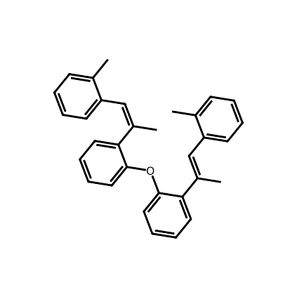 CC(=Cc1ccccc1C)c1ccccc1Oc1ccccc1C(C)=Cc1ccccc1C